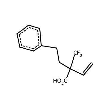 C=CC(CCc1ccccc1)(C(=O)O)C(F)(F)F